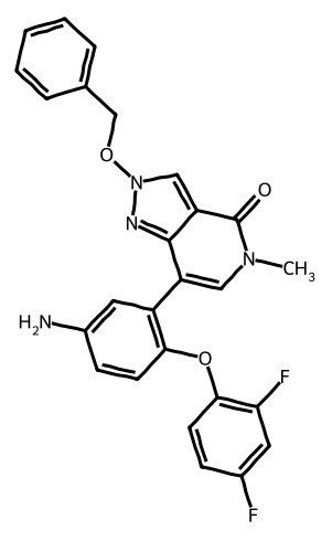 Cn1cc(-c2cc(N)ccc2Oc2ccc(F)cc2F)c2nn(OCc3ccccc3)cc2c1=O